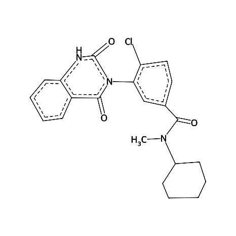 CN(C(=O)c1ccc(Cl)c(-n2c(=O)[nH]c3ccccc3c2=O)c1)C1CCCCC1